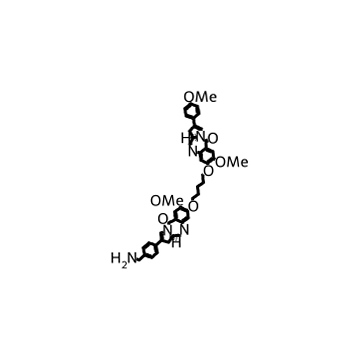 COc1ccc(C2=CN3C(=O)c4cc(OC)c(OCCCCCOc5cc6c(cc5OC)C(=O)N5C=C(c7ccc(CN)cc7)C[C@H]5C=N6)cc4N=C[C@@H]3C2)cc1